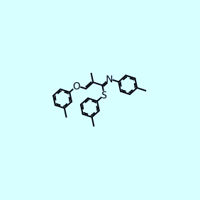 CC(=C\Oc1cccc(C)c1)/C(=N/c1ccc(C)cc1)Sc1cccc(C)c1